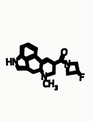 CN1CC(C(=O)N2CC(F)C2)C=C2c3cccc4[nH]cc(c34)CC21